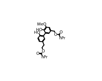 CCCC(=O)OCCc1ccc(O)c(-c2cc(COC(=O)CCC)cc(OC)c2O)c1